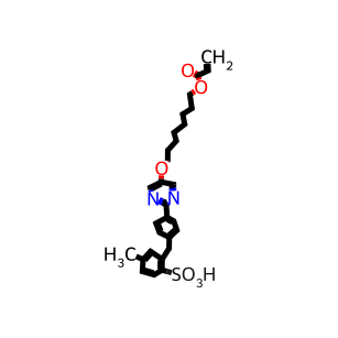 C=CC(=O)OCCCCCCCCOc1cnc(-c2ccc(Cc3cc(C)ccc3S(=O)(=O)O)cc2)nc1